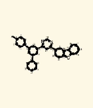 Cc1ccc(-c2cc(-c3ccccc3)cc(-c3cc(-c4ccc5oc6ccccc6c5c4)ncn3)c2)cc1